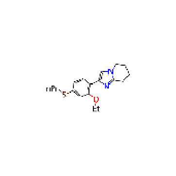 CCCSc1ccc(-c2cn3c(n2)CCCC3)c(OCC)c1